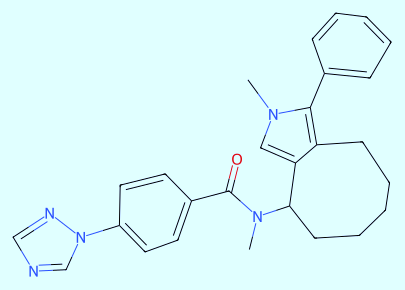 CN(C(=O)c1ccc(-n2cncn2)cc1)C1CCCCCc2c1cn(C)c2-c1ccccc1